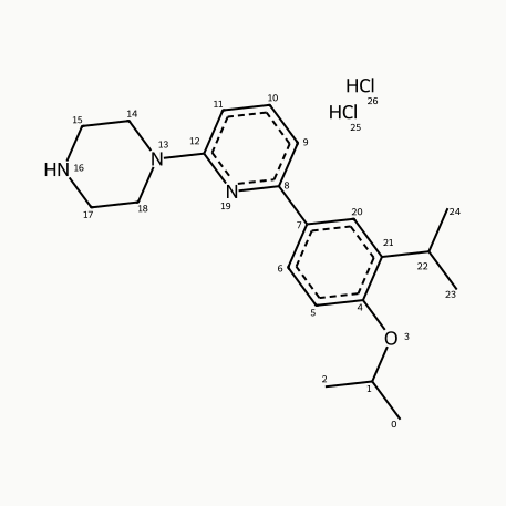 CC(C)Oc1ccc(-c2cccc(N3CCNCC3)n2)cc1C(C)C.Cl.Cl